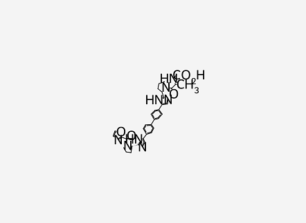 C[C@H](NC(=O)O)C(=O)N1CCCC1c1ncc(-c2ccc(-c3ccc(-c4cnc([C@@H]5CCCN5C(=O)c5ncco5)[nH]4)cc3)cc2)[nH]1